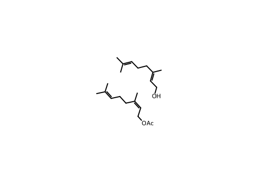 CC(=O)OCC=C(C)CCC=C(C)C.CC(C)=CCCC(C)=CCO